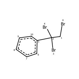 BrCC(Br)(Br)c1ccccc1